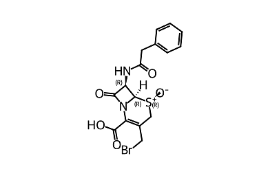 O=C(Cc1ccccc1)N[C@@H]1C(=O)N2C(C(=O)O)=C(CBr)C[S@+]([O-])[C@H]12